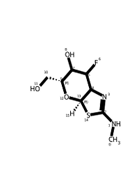 CNC1=NC2C(F)C(O)[C@@H](CO)O[C@@H]2S1